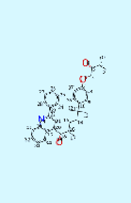 CC(C)C(=O)COc1ccc(C(C)(C)CCC(C)C(=O)c2cc(-c3ccccc3)nc3ccccc23)cc1